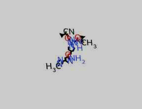 C[C@@H](NC(=O)c1nc(OCC(C#N)C2CC2)nc(N2CCC(COc3cc(-c4cn(C)cn4)cnc3N)CC2)n1)C1CC1